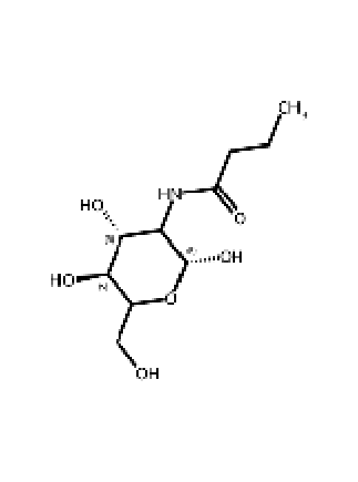 CCCC(=O)NC1[C@H](O)OC(CO)[C@@H](O)[C@@H]1O